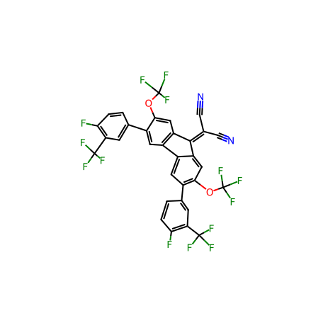 N#CC(C#N)=C1c2cc(OC(F)(F)F)c(-c3ccc(F)c(C(F)(F)F)c3)cc2-c2cc(-c3ccc(F)c(C(F)(F)F)c3)c(OC(F)(F)F)cc21